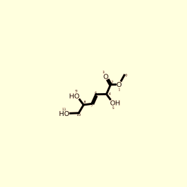 COC(=O)C(O)C=CC(O)CO